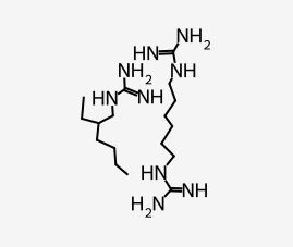 CCCCC(CC)CNC(=N)N.N=C(N)NCCCCCCNC(=N)N